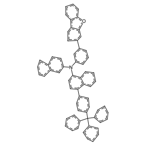 c1ccc(C(c2ccccc2)(c2ccccc2)c2ccc(-c3ccc(N(c4cccc(-c5ccc6c(c5)oc5ccccc56)c4)c4ccc5ccccc5c4)c4ccccc34)cc2)cc1